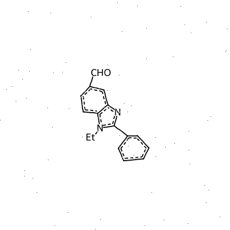 CCn1c(-c2ccccc2)nc2cc(C=O)ccc21